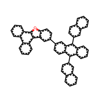 c1ccc2cc(-c3c4ccccc4c(-c4ccc5ccccc5c4)c4cc(-c5ccc6oc7c8ccccc8c8ccccc8c7c6c5)ccc34)ccc2c1